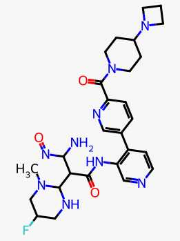 CN1CC(F)CNC1C(C(=O)Nc1cnccc1-c1ccc(C(=O)N2CCC(N3CCC3)CC2)nc1)C(N)N=O